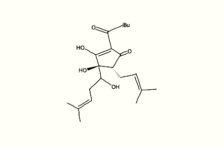 CCC(C)C(=O)C1=C(O)[C@@](O)(C(O)CC=C(C)C)[C@@H](CC=C(C)C)C1=O